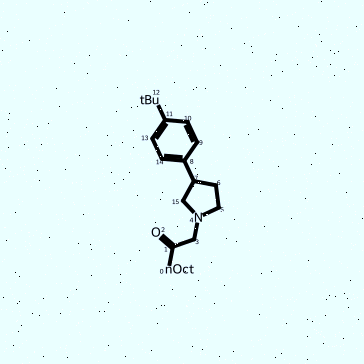 CCCCCCCCC(=O)CN1CCC(c2ccc(C(C)(C)C)cc2)C1